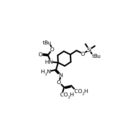 CC(C)(C)OC(=O)NC1(C(N)=NOC(=CC(=O)O)C(=O)O)CCC(CO[Si](C)(C)C(C)(C)C)CC1